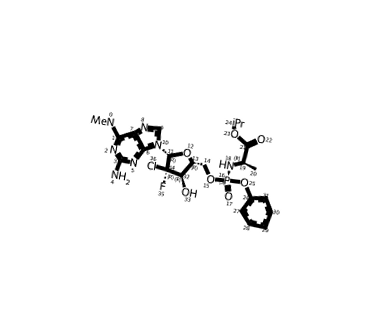 CNc1nc(N)nc2c1ncn2[C@@H]1O[C@H](CO[P@@](=O)(N[C@H](C)C(=O)OC(C)C)Oc2ccccc2)[C@@H](O)[C@@]1(F)Cl